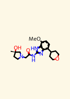 COc1ccc(C2CCOCC2)c2nc(NC(=O)CN3CC[C@](C)(O)C3)[nH]c12